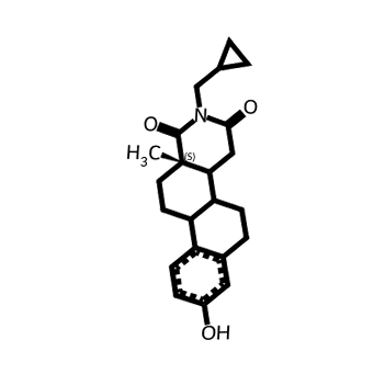 C[C@]12CCC3c4ccc(O)cc4CCC3C1CC(=O)N(CC1CC1)C2=O